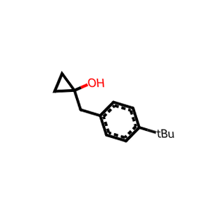 CC(C)(C)c1ccc(CC2(O)CC2)cc1